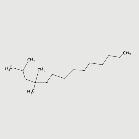 CCCCCCCCC[CH]C(C)(C)CC(C)C